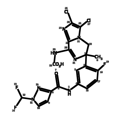 CC1(c2cc(NC(=O)c3ccn(C(F)F)n3)ccc2F)Cn2c(nc(Cl)c2Cl)C(NC(=O)O)=N1